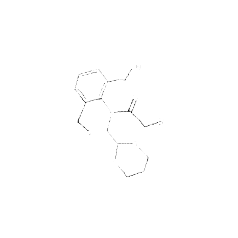 CCc1cccc(CC)c1N(CC1SCCCS1)C(=O)CBr